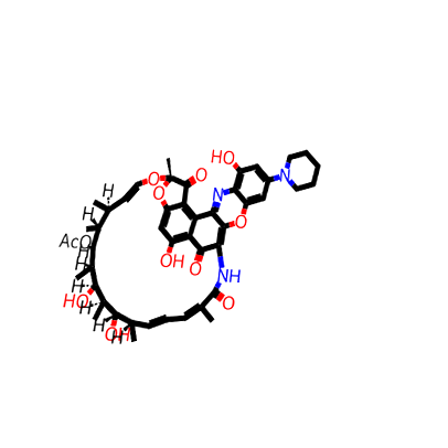 CC(=O)O[C@H]1[C@H](C)[C@H](O)[C@H](C)[C@@H](O)[C@@H](C)/C=C/C=C(/C)C(=O)Nc2c3oc4cc(N5CCCCC5)cc(O)c4nc-3c3c4c(cc(O)c3c2=O)O[C@](C)(O/C=C/[C@H](C)[C@H]1C)C4=O